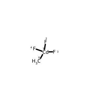 [CH3][Cd]([F])([F])[F]